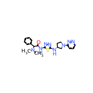 CN(C)C(C(=O)Nc1nnc(N[C@@H]2CCN(c3cccnn3)C2)s1)c1ccccc1